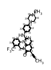 CC#Cc1cc2cnc(Nc3ccc(N4CCN(C)CC4)cc3)nc2n(Cc2ccccc2C(F)(F)F)c1=O